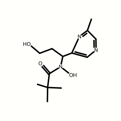 Cc1cncc(C(CCO)N(O)C(=O)C(C)(C)C)n1